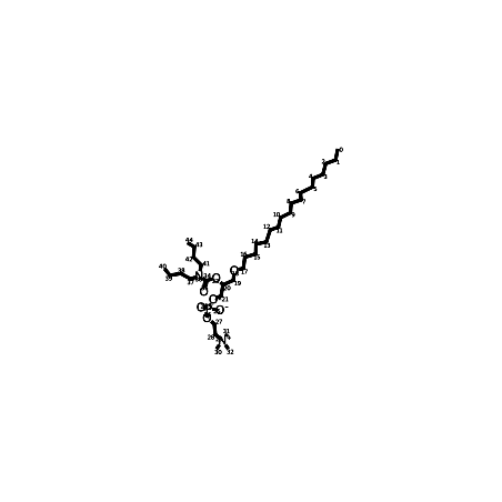 CCCCCCCCCCCCCCCCCCOCC(COP(=O)([O-])OCC[N+](C)(C)C)OC(=O)N(CCCC)CCCC